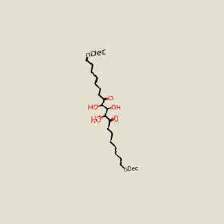 CCCCCCCCCCCCCCCCCC(=O)C(O)C(O)C(O)C(=O)CCCCCCCCCCCCCCCCC